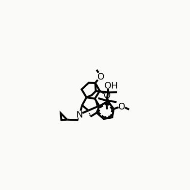 COc1ccc2c3c1OC1C4(OC)CCC5(CC4C(C)(O)C(C)(C)C)C4[N@](CC6CC6)[C@]4(C2)C[C@]315